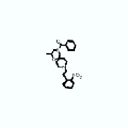 CC1CN(C(=O)c2ccccc2)CC2(CCN(CCc3ccccc3[N+](=O)[O-])CC2)O1